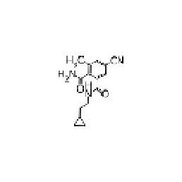 Cc1cc(C#N)cc(C(=O)NCCC2CC2)c1C(N)=O